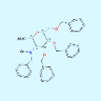 CO[C@@H]1O[C@H](COCc2ccccc2)[C@H](OCc2ccccc2)[C@H](OCc2ccccc2)[C@@H]1N(Cc1ccccc1)C(C)=O